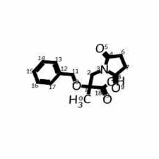 CC(CN1C(=O)CCC1=O)(OCc1ccccc1)C(=O)O